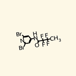 CC(F)(F)C(F)(F)C(=O)Nc1cc(Br)nc(Br)c1